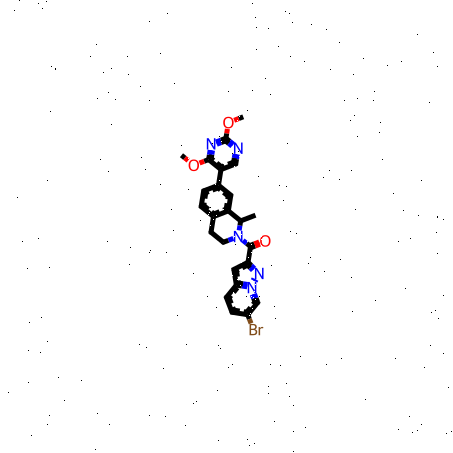 COc1ncc(-c2ccc3c(c2)C(C)N(C(=O)c2cc4ccc(Br)cn4n2)CC3)c(OC)n1